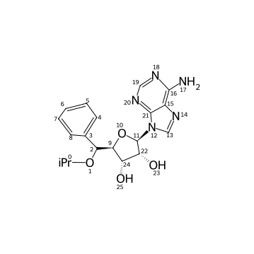 CC(C)OC(c1ccccc1)[C@H]1O[C@@H](n2cnc3c(N)ncnc32)[C@H](O)[C@@H]1O